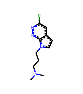 CN(C)CCCn1ccc2cc(Cl)nnc21